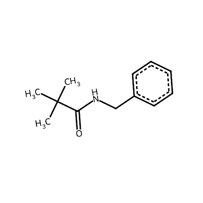 CC(C)(C)C(=O)NCc1ccccc1